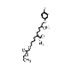 CCOC(=O)COCCCCC(CCCC(O)COc1ccc(F)cc1)C(C)=O